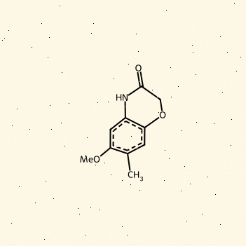 COc1cc2c(cc1C)OCC(=O)N2